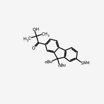 CCCCC1(CCCC)c2cc(SC)ccc2-c2ccc(C(=O)C(C)(C)O)cc21